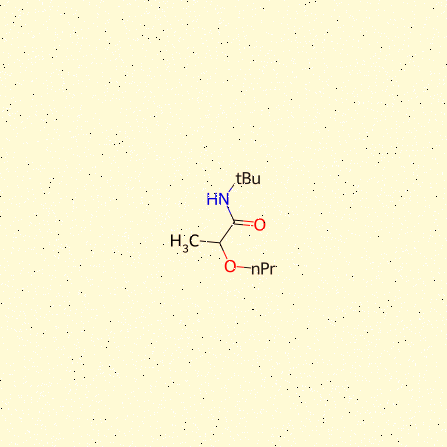 CCCOC(C)C(=O)NC(C)(C)C